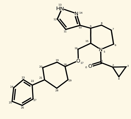 O=C(C1CC1)N1CCCC(c2cc[nH]n2)C1COC1CCC(c2ccccc2)CC1